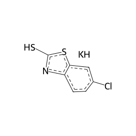 Sc1nc2ccc(Cl)cc2s1.[KH]